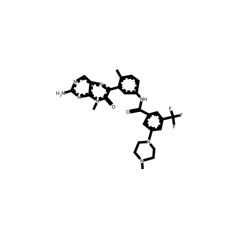 Cc1ccc(NC(=O)c2cc(N3CCN(C)CC3)cc(C(F)(F)F)c2)cc1-c1nc2cnc(N)nc2n(C)c1=O